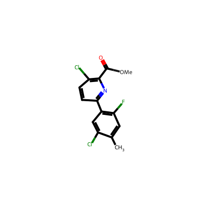 COC(=O)c1nc(-c2cc(Cl)c(C)cc2F)ccc1Cl